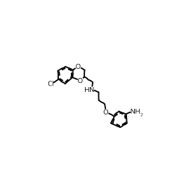 Nc1cccc(OCCCNCC2COc3ccc(Cl)cc3O2)c1